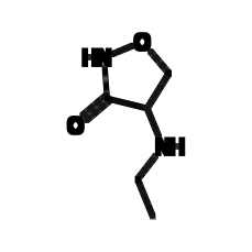 CCNC1CONC1=O